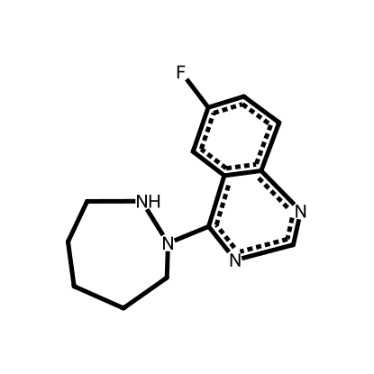 Fc1ccc2ncnc(N3CCCCCN3)c2c1